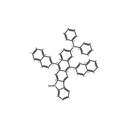 Cn1c2ccccc2c2cc3c(-c4ccc5ccccc5c4)c4cc(N(c5ccccc5)c5ccccc5)ccc4c(-c4ccc5ccccc5c4)c3cc21